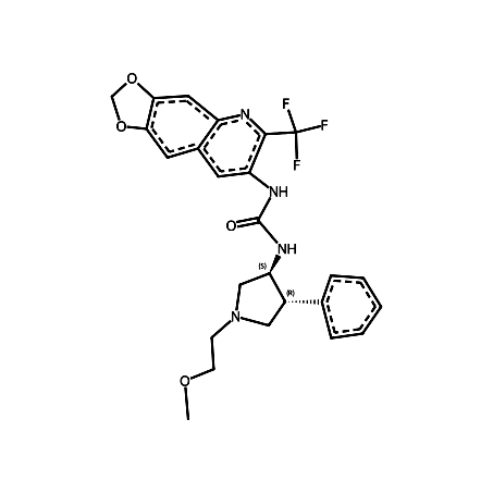 COCCN1C[C@@H](NC(=O)Nc2cc3cc4c(cc3nc2C(F)(F)F)OCO4)[C@H](c2ccccc2)C1